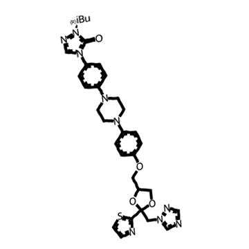 CC[C@@H](C)n1ncn(-c2ccc(N3CCN(c4ccc(OCC5COC(Cn6cncn6)(c6nccs6)O5)cc4)CC3)cc2)c1=O